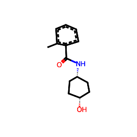 Cc1ccccc1C(=O)N[C@H]1CC[C@@H](O)CC1